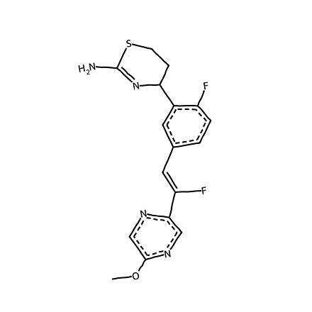 COc1cnc(/C(F)=C/c2ccc(F)c(C3CCSC(N)=N3)c2)cn1